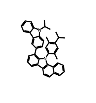 Cc1cc(-n2c3c(-c4ccc5c(c4)c4ccccc4n5C(C)C)cccc3c3ccc4ccccc4c32)c(C)cc1C(C)C